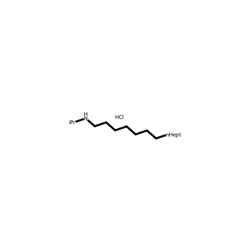 CCCCCCCCCCCCCCNC(C)C.Cl